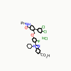 CC(C)NC(=O)c1ccc(-c2ccc(Cl)c(Cl)c2)c(COc2ccc(-c3nc4cc(C(=O)O)ccc4n3C3CCCCC3)c(F)c2)c1.Cl